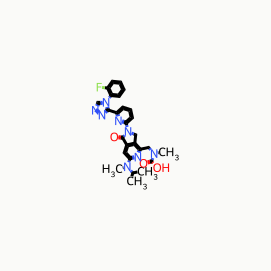 CC(C)N(C)c1cc2c(c(CN(C)C(=O)O)n1)CN(c1cccc(-c3nncn3-c3ccccc3F)n1)C2=O